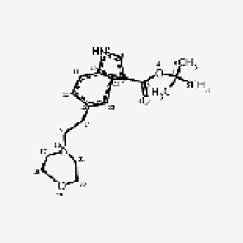 CC(C)(C)OC(=O)c1c[nH]c2ccc(CCN3CCOCC3)cc12